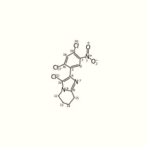 O=[N+]([O-])c1cc(-c2nc3n(c2Cl)CCCC3)c(Cl)cc1Cl